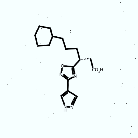 O=C(O)C[C@@H](CCCC1CCCCC1)c1nc(-c2cn[nH]c2)no1